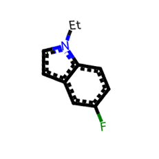 CCn1ccc2cc(F)ccc21